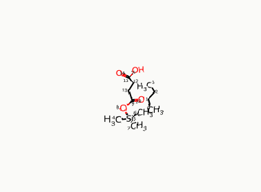 CCCC.C[Si](C)(C)OC(=O)CCC(=O)O